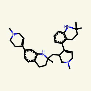 CN1CC=C(c2ccc3c(c2)NC(C)(CC2CN(C)CC=C2c2cccc4c2CCC(C)(C)N4)CC3)CC1